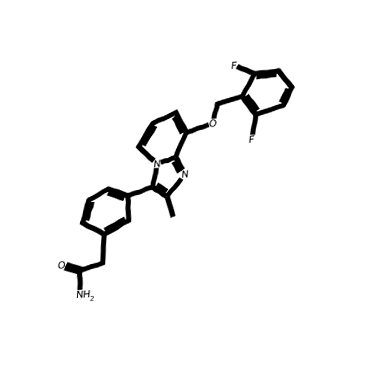 Cc1nc2c(OCc3c(F)cccc3F)cccn2c1-c1cccc(CC(N)=O)c1